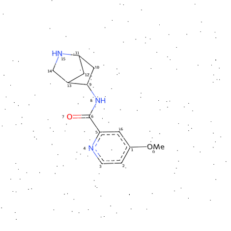 COc1ccnc(C(=O)NC2CC3CC2CN3)c1